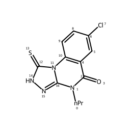 CCCn1c(=O)c2cc(Cl)ccc2n2c(=S)[nH]nc12